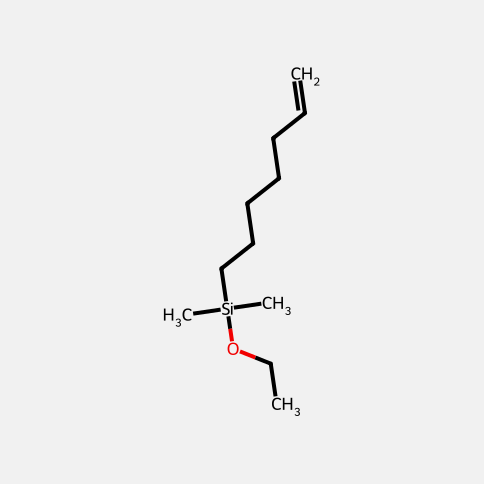 C=CCCCCC[Si](C)(C)OCC